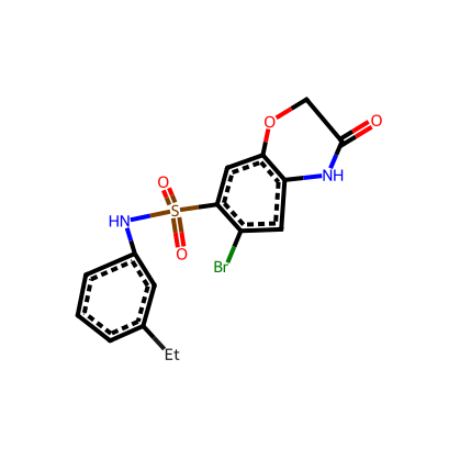 CCc1cccc(NS(=O)(=O)c2cc3c(cc2Br)NC(=O)CO3)c1